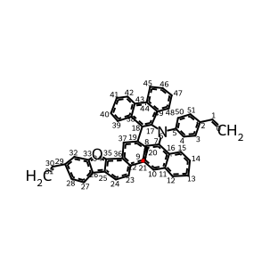 C=Cc1ccc(N(c2cccc3ccccc23)c2c(-c3ccc4ccc5c6ccc(C=C)cc6oc5c4c3)c3ccccc3c3ccccc23)cc1